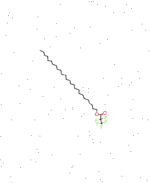 CCCCCCCCCCCCCCCCCCCCCCCCCCOC(=O)C(F)(F)C(F)(F)F